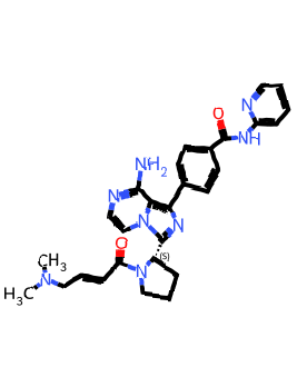 CN(C)CC=CC(=O)N1CCC[C@H]1c1nc(-c2ccc(C(=O)Nc3ccccn3)cc2)c2c(N)nccn12